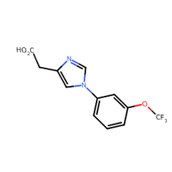 O=C(O)Cc1cn(-c2cccc(OC(F)(F)F)c2)cn1